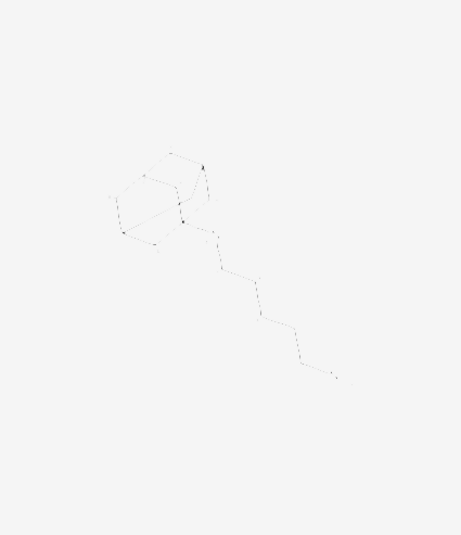 NCCCCCNC12CC3CC(CC(C3)C1)C2